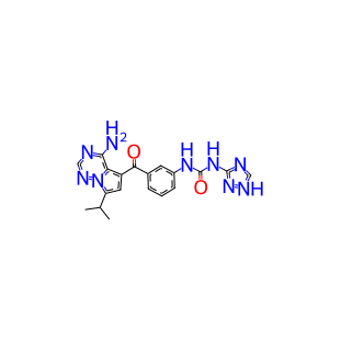 CC(C)c1cc(C(=O)c2cccc(NC(=O)Nc3nc[nH]n3)c2)c2c(N)ncnn12